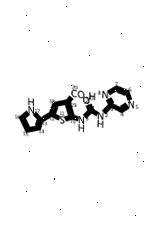 O=C(Nc1cnccn1)Nc1sc(-c2ccc[nH]2)cc1C(=O)O